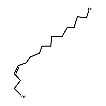 OCC/C=C\CCCCCCCCCCCBr